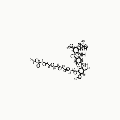 CCOC(=O)COCCOCCOCCOCCOc1cc(Nc2ncc(Cl)c(Nc3ccc(OC)cc3NS(C)(=O)=O)n2)c(C)cc1OC